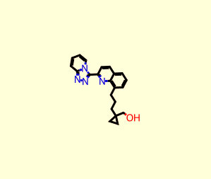 OCC1(CCCc2cccc3ccc(-c4nnc5ccccn45)nc23)CC1